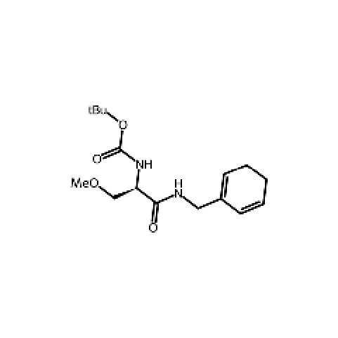 COC[C@@H](NC(=O)OC(C)(C)C)C(=O)NCC1=CCCC=C1